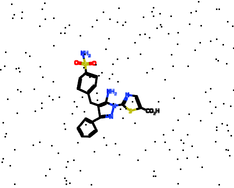 Nc1c(Cc2ccc(S(N)(=O)=O)cc2)c(-c2ccccc2)nn1-c1ncc(C(=O)O)s1